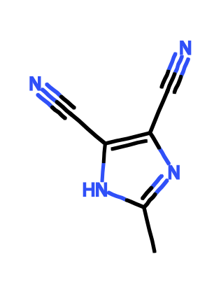 Cc1nc(C#N)c(C#N)[nH]1